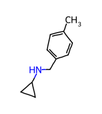 Cc1ccc(CNC2CC2)cc1